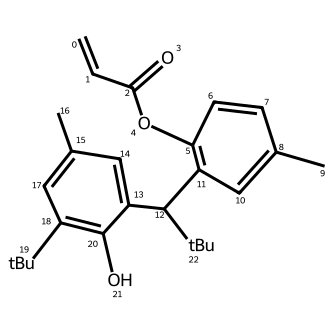 C=CC(=O)Oc1ccc(C)cc1C(c1cc(C)cc(C(C)(C)C)c1O)C(C)(C)C